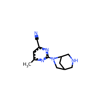 Cc1cc(C#N)nc(N2CC3CNCC2C3)n1